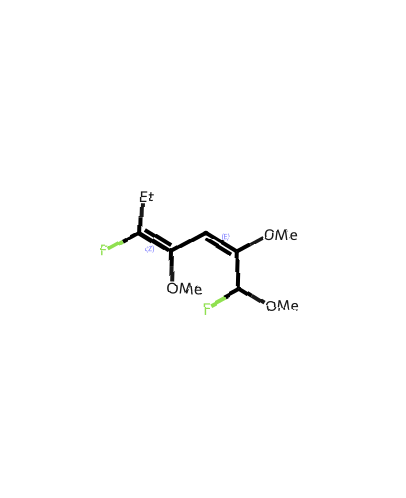 CC/C(F)=C(\C=C(\OC)C(F)OC)OC